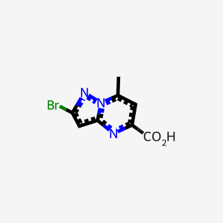 Cc1cc(C(=O)O)nc2cc(Br)nn12